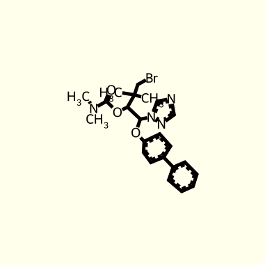 CN(C)C(=O)OC(C(Oc1ccc(-c2ccccc2)cc1)n1cncn1)C(C)(C)CBr